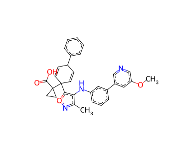 COc1cncc(-c2cccc(Nc3c(C)noc3C3(C4(C(=O)O)CC4)C=CC(c4ccccc4)C=C3)c2)c1